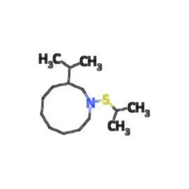 CC(C)SN1CCCCCCCC(C(C)C)C1